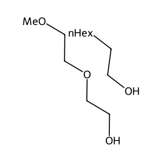 CCCCCCCCO.COCCOCCO